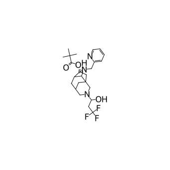 CC(C)(C)C(=O)O[C@@H]1CC23CC(CC1C2NCc1ccccn1)CN(C(O)CC(F)(F)F)C3